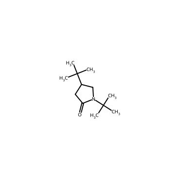 CC(C)(C)C1CC(=O)N(C(C)(C)C)C1